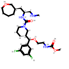 CNC[C@H](C[C@H]1CCCCOC1)NC(=O)N1CCC[C@@H]([C@@H](OCCNC(=O)OC)c2cc(F)cc(F)c2)C1